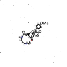 COc1ccc(CN2C(=O)SC[C@@H]2[C@@]2(OC)C[C@H]3C[C@@H](CCC/C=C/CC/C(C)=C\C(=O)O3)O2)cc1